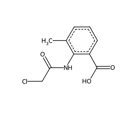 Cc1cccc(C(=O)O)c1NC(=O)CCl